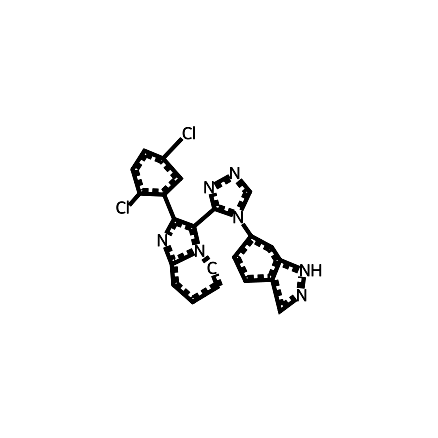 Clc1ccc(Cl)c(-c2nc3ccccn3c2-c2nncn2-c2ccc3cn[nH]c3c2)c1